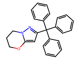 c1ccc(C(c2ccccc2)(c2ccccc2)c2cc3n(n2)CCCO3)cc1